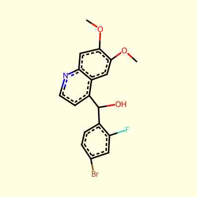 COc1cc2nccc(C(O)c3ccc(Br)cc3F)c2cc1OC